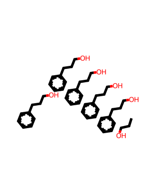 CCCO.OCCCc1ccccc1.OCCCc1ccccc1.OCCCc1ccccc1.OCCCc1ccccc1.OCCCc1ccccc1